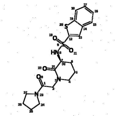 O=C(CN1CCC[C@H](NS(=O)(=O)c2cc3ccccc3s2)C1=O)N1CCCC1